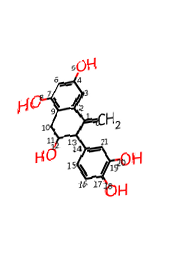 C=C1c2cc(O)cc(O)c2CC(O)C1c1ccc(O)c(O)c1